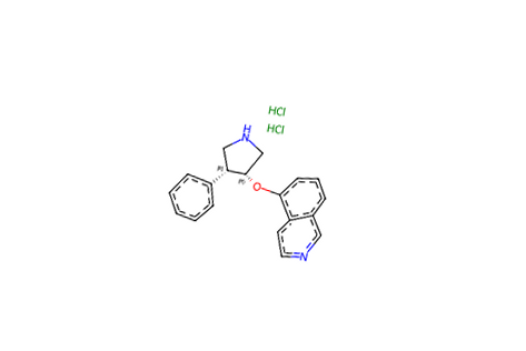 Cl.Cl.c1ccc([C@@H]2CNC[C@@H]2Oc2cccc3cnccc23)cc1